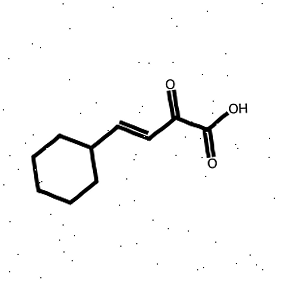 O=C(O)C(=O)C=CC1CCCCC1